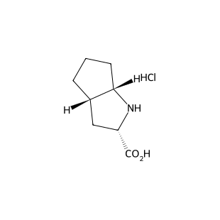 Cl.O=C(O)[C@@H]1C[C@@H]2CCC[C@@H]2N1